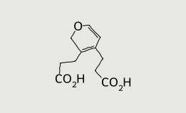 O=C(O)CCC1=C(CCC(=O)O)COC=C1